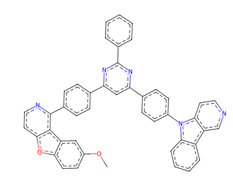 COc1ccc2oc3ccnc(-c4ccc(-c5cc(-c6ccc(-n7c8ccccc8c8cnccc87)cc6)nc(-c6ccccc6)n5)cc4)c3c2c1